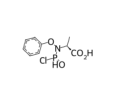 C[C@@H](C(=O)O)N(Oc1ccccc1)[PH](=O)Cl